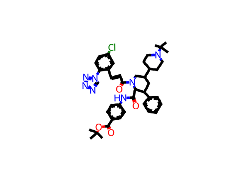 CC(C)(C)OC(=O)c1ccc(NC(=O)C2C(c3ccccc3)CC(C3CCN(C(C)(C)C)CC3)CN2C(=O)C=Cc2cc(Cl)ccc2-n2cnnn2)cc1